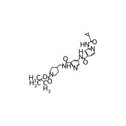 CC(C)(C)OC(=O)N1CCC(CNC(=O)c2cncc(NC(=O)c3ccnc(NC(=O)C4CC4)c3)c2)CC1